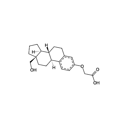 O=C(O)COc1ccc2c(c1)CC[C@@H]1[C@@H]2CC[C@]2(CO)CCC[C@@H]12